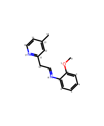 COc1ccccc1N=CCc1cc(C)ccn1